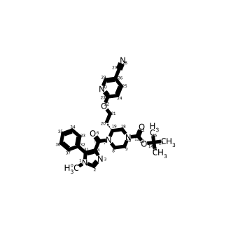 Cn1cnc(C(=O)N2CCN(C(=O)OC(C)(C)C)C[C@H]2CCOc2ccc(C#N)cn2)c1-c1ccccc1